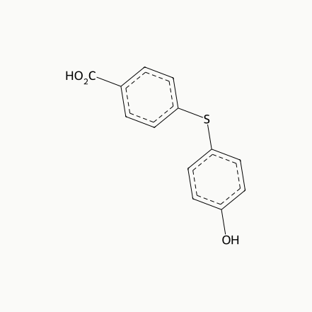 O=C(O)c1ccc(Sc2ccc(O)cc2)cc1